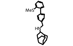 CSc1ccccc1-c1ccc(CNC2CC3CC4CCC2C(C4)C3)cc1